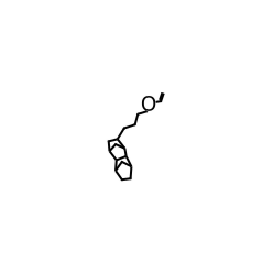 C=COCCCCC1CC2CC1C1C3CCC(C3)C21